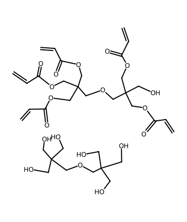 C=CC(=O)OCC(CO)(COCC(COC(=O)C=C)(COC(=O)C=C)COC(=O)C=C)COC(=O)C=C.OCC(CO)(CO)COCC(CO)(CO)CO